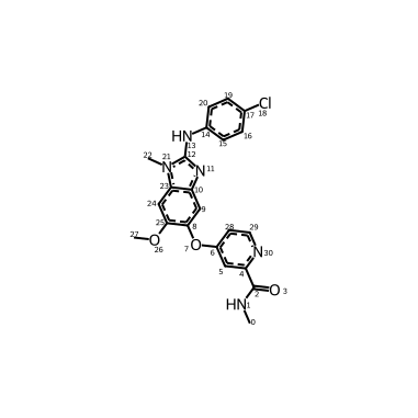 CNC(=O)c1cc(Oc2cc3nc(Nc4ccc(Cl)cc4)n(C)c3cc2OC)ccn1